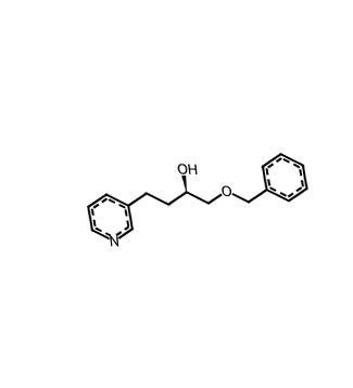 O[C@H](CCc1cccnc1)COCc1ccccc1